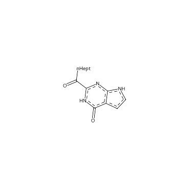 CCCCCCCC(=O)c1nc2[nH]ccc2c(=O)[nH]1